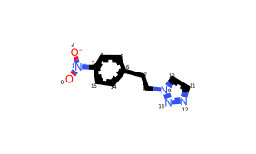 O=[N+]([O-])c1ccc([CH]Cn2ccnn2)cc1